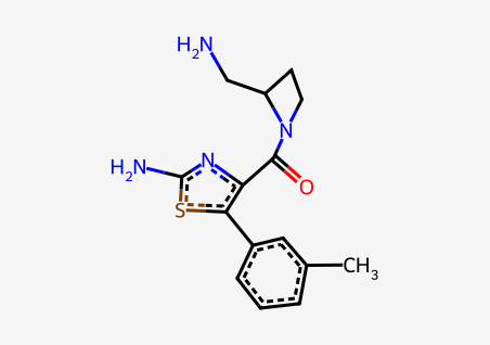 Cc1cccc(-c2sc(N)nc2C(=O)N2CCC2CN)c1